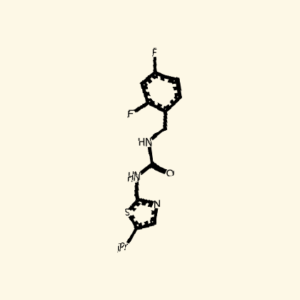 CC(C)c1cnc(NC(=O)NCc2ccc(F)cc2F)s1